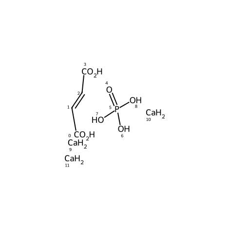 O=C(O)C=CC(=O)O.O=P(O)(O)O.[CaH2].[CaH2].[CaH2]